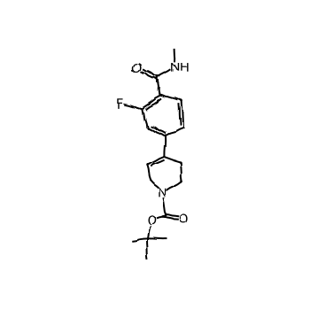 CNC(=O)c1ccc(C2=CCN(C(=O)OC(C)(C)C)CC2)cc1F